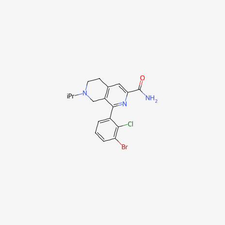 CC(C)N1CCc2cc(C(N)=O)nc(-c3cccc(Br)c3Cl)c2C1